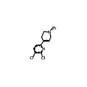 CC(C)N1CC=C(c2ccc(Cl)c(Cl)n2)CC1